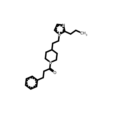 CCCc1nccn1CCC1CCN(C(=O)CCc2ccccc2)CC1